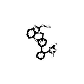 CCCCOc1nc2cccc(C(=O)O)c2n1Cc1ccc(-c2ccccc2-c2nc(=O)s[nH]2)cc1